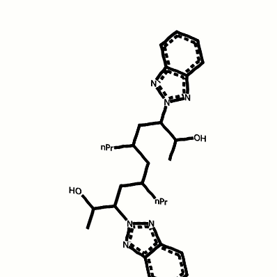 CCCC(CC(CCC)CC(C(C)O)n1nc2ccccc2n1)CC(C(C)O)n1nc2ccccc2n1